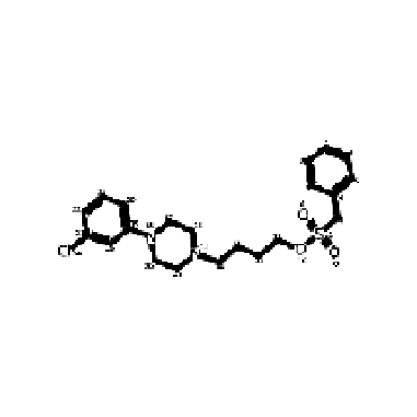 O=S(=O)(Cc1ccccc1)OCCCCN1CCN(c2cccc(Cl)c2)CC1